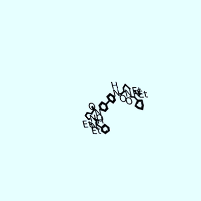 CCN(CC)[C@H](C(=O)N1CCCC1C(=O)Nc1ccc(-c2ccc(NC(=O)C3CCCN3C(=O)[C@H](c3ccccc3)N(CC)CC)cc2)cc1)c1ccccc1